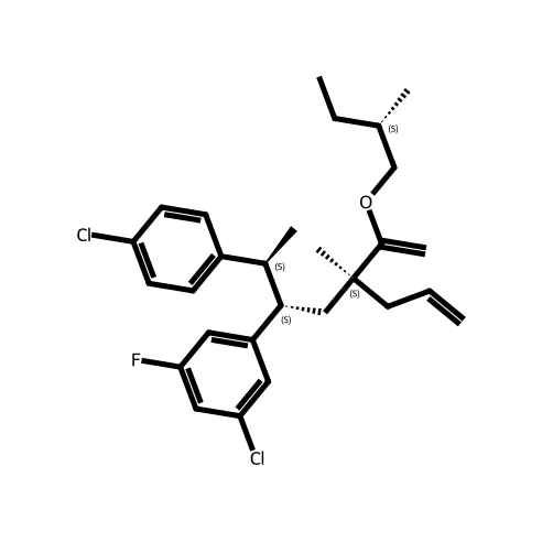 C=CC[C@@](C)(C[C@H](c1cc(F)cc(Cl)c1)[C@H](C)c1ccc(Cl)cc1)C(=C)OC[C@@H](C)CC